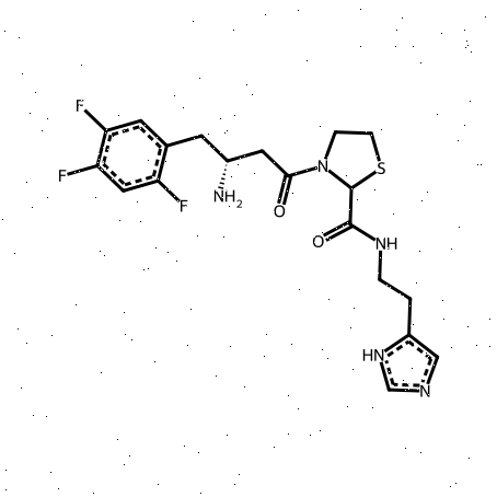 N[C@@H](CC(=O)N1CCSC1C(=O)NCCc1cnc[nH]1)Cc1cc(F)c(F)cc1F